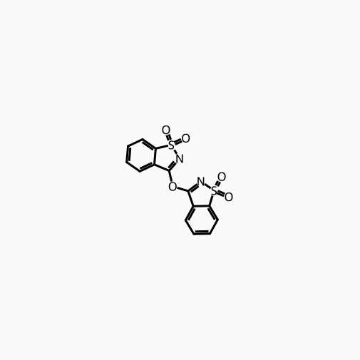 O=S1(=O)N=C(OC2=NS(=O)(=O)c3ccccc32)c2ccccc21